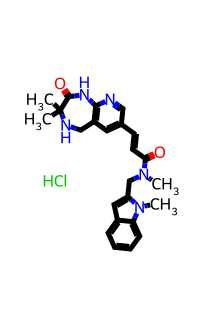 CN(Cc1cc2ccccc2n1C)C(=O)C=Cc1cnc2c(c1)CNC(C)(C)C(=O)N2.Cl